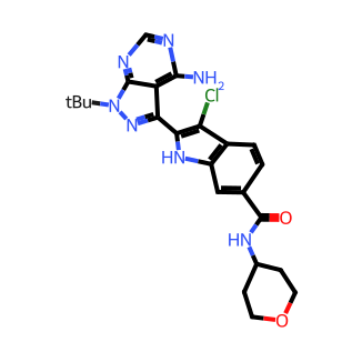 CC(C)(C)n1nc(-c2[nH]c3cc(C(=O)NC4CCOCC4)ccc3c2Cl)c2c(N)ncnc21